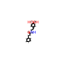 O=C(CCc1ccccc1)NCCC1=CCC(O)(O)C=C1